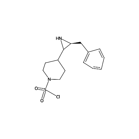 O=S(=O)(Cl)N1CCC(C2N[C@H]2Cc2ccccc2)CC1